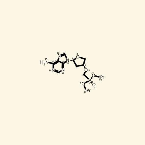 CC(C)OP(=O)(CO[C@@H]1CO[C@@H](n2cnc3c(N)ncnc32)C1)OC(C)C